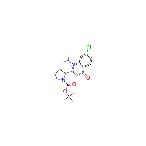 CC(C)n1c(C2CCCN2C(=O)OC(C)(C)C)cc(=O)c2ccc(Cl)cc21